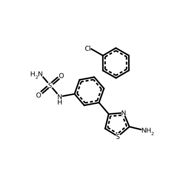 Clc1ccccc1.Nc1nc(-c2cccc(NS(N)(=O)=O)c2)cs1